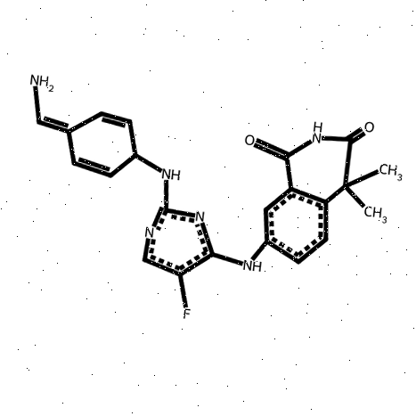 CC1(C)C(=O)NC(=O)c2cc(Nc3nc(NC4C=CC(=CN)C=C4)ncc3F)ccc21